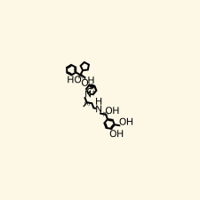 C[C@H](CCNC[C@@H](O)c1ccc(O)c(CO)c1)C[N+]12CCC(CC1)[C@H](OC[C@](O)(c1ccccc1)C1CCCC1)C2